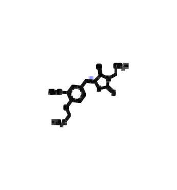 COc1cc(/C=C2\SC(=S)N(CC(=O)O)C2=O)ccc1OCC(=O)O